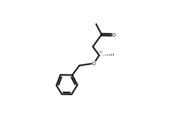 CC(=O)C[C@H](C)OCc1ccccc1